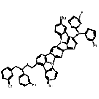 CCc1cccc(CC(CCc2ccc3c4cc5c(cc4n4c6ccc(C(C)(C)C)cc6c2c34)c2ccc(N(c3cccc(CC)c3)c3cccc(CC)c3)c3c4cc(C(C)(C)C)ccc4n5c23)c2cccc(CC)c2)c1